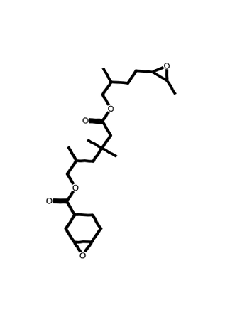 CC(CCC1OC1C)COC(=O)CC(C)(C)CC(C)COC(=O)C1CCC2OC2C1